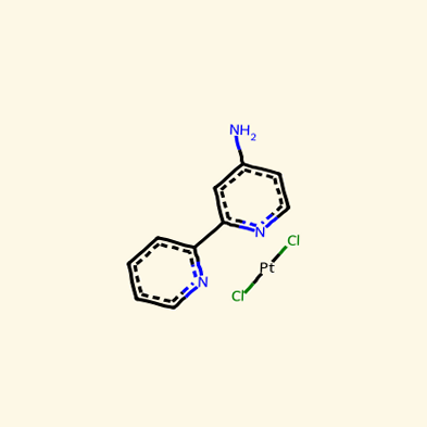 Nc1ccnc(-c2ccccn2)c1.[Cl][Pt][Cl]